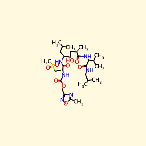 Cc1nc(COC(=O)N[C@@H](CS(C)(=O)=O)C(=O)N[C@@H](CC(C)C)[C@@H](O)C[C@@H](C)C(=O)N[C@H](C(=O)NCC(C)C)C(C)C)no1